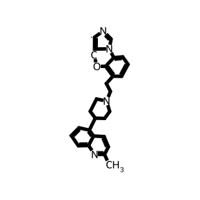 Cc1ccc2c(C3CCN(CCc4cccc5c4OCc4[c]ncn4-5)CC3)cccc2n1